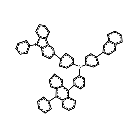 c1ccc(-c2c3ccccc3c(-c3cccc(N(c4ccc(-c5ccc6ccccc6c5)cc4)c4ccc(-c5ccc6c(c5)c5ccccc5n6-c5ccccc5)cc4)c3)c3ccccc23)cc1